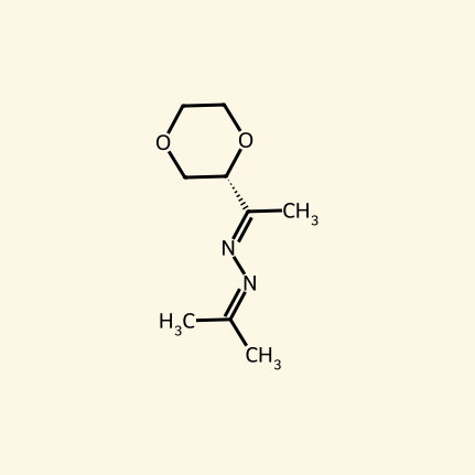 CC(C)=N/N=C(\C)[C@@H]1COCCO1